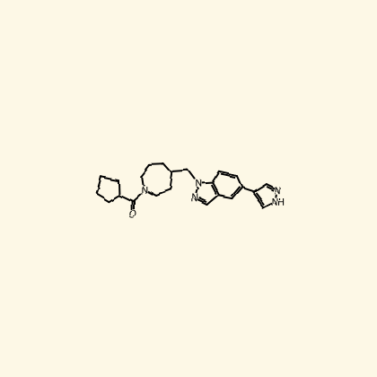 O=C(C1CCCC1)N1CCCC(Cn2ncc3cc(-c4cn[nH]c4)ccc32)CC1